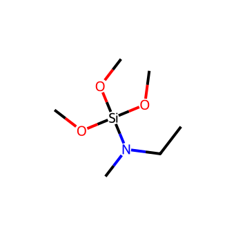 CCN(C)[Si](OC)(OC)OC